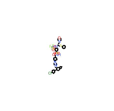 O=C(NS(=O)(=O)c1ccc(N[C@H](CCN2CCOCC2)CSc2ccccc2)c(S(=O)(=O)C(F)(F)F)c1)c1ccc(N2CCN(CC3=C(c4ccc(Cl)cc4)CCC4(CCC4)C3)CC2)cc1